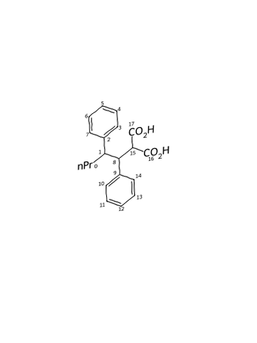 CCCC(c1ccccc1)C(c1ccccc1)C(C(=O)O)C(=O)O